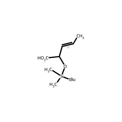 C/C=C/C(O[Si](C)(C)C(C)(C)C)C(=O)O